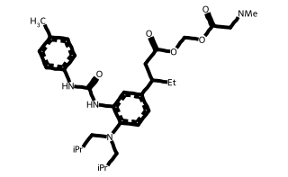 CCC(CC(=O)OCOC(=O)CNC)c1ccc(N(CC(C)C)CC(C)C)c(NC(=O)Nc2ccc(C)cc2)c1